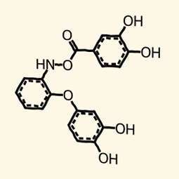 O=C(ONc1ccccc1Oc1ccc(O)c(O)c1)c1ccc(O)c(O)c1